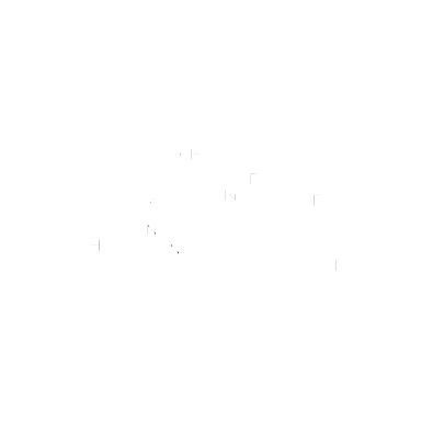 CN1N=C(c2ccc(F)c(F)c2F)C(C)(Br)C1=O